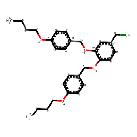 CCCCOc1ccc(COc2ccc(CCl)cc2OCc2ccc(OCCCC)cc2)cc1